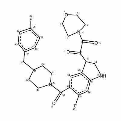 O=C(C(=O)N1CCOCC1)C1CNc2cc(Cl)c(C(=O)N3CCC(Cc4ccc(F)cc4)CC3)cc21